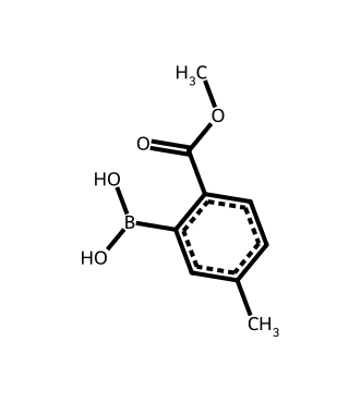 COC(=O)c1ccc(C)cc1B(O)O